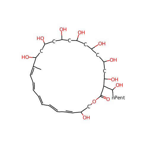 CCCCCC(O)C1C(=O)OCC(O)/C=C/C=C/C=C/C=C/C=C(\C)C(O)CC(O)CC(O)CC(O)CC(O)CC(O)CC1O